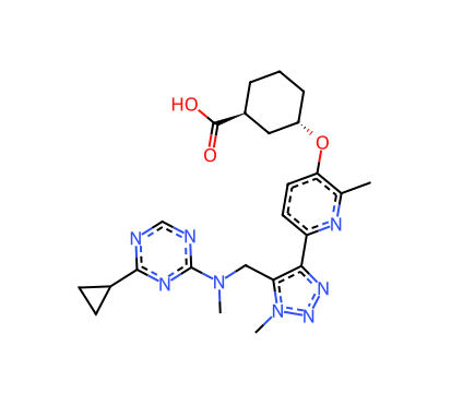 Cc1nc(-c2nnn(C)c2CN(C)c2ncnc(C3CC3)n2)ccc1O[C@H]1CCC[C@H](C(=O)O)C1